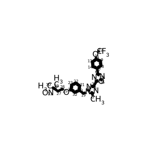 Cc1nc(-c2nc(-c3ccc(OC(F)(F)F)cc3)no2)nn1Cc1cccc(OCCC(C)(C)N=O)c1